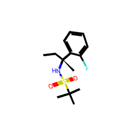 C[CH][C@@](C)(NS(=O)(=O)C(C)(C)C)c1ccccc1F